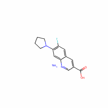 N.O=C(O)c1cnc2cc(N3CCCC3)c(F)cc2c1